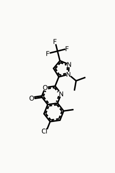 Cc1cc(Cl)cc2c(=O)oc(-c3cc(C(F)(F)F)nn3C(C)C)nc12